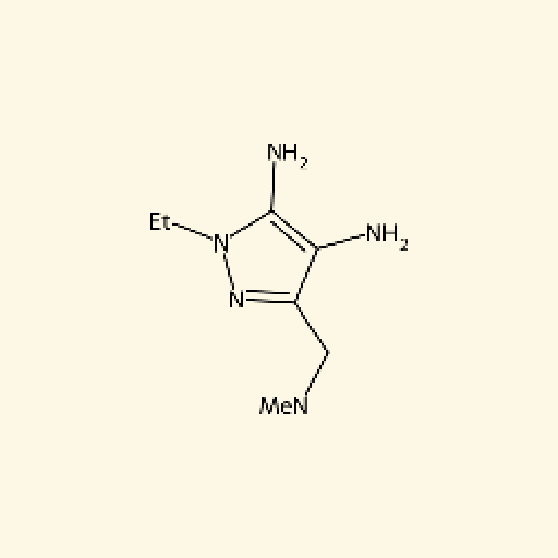 CCn1nc(CNC)c(N)c1N